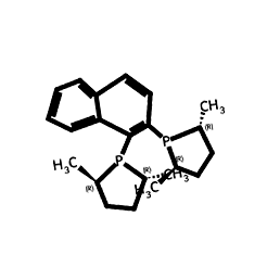 C[C@@H]1CC[C@@H](C)P1c1ccc2ccccc2c1P1[C@H](C)CC[C@H]1C